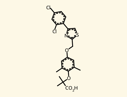 Cc1cc(OCc2nc(-c3ccc(Cl)cc3Cl)cs2)cc(C)c1OC(C)(C)C(=O)O